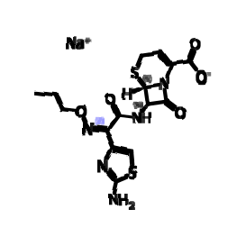 CCCO/N=C(\C(=O)N[C@@H]1C(=O)N2C(C(=O)[O-])=CCS[C@@H]12)c1csc(N)n1.[Na+]